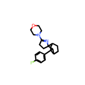 Fc1ccc(C2C3CCC(CC3)C23CCC(N2CCOCC2)=N3)cc1